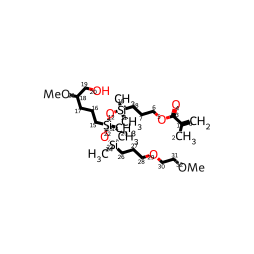 C=C(C)C(=O)OCCC[Si](C)(C)O[Si](C)(CCCC(CO)OC)O[Si](C)(C)CCCOCCOC